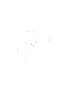 CC(C)(C)OC(=O)NC(COS(C)(=O)=O)Cc1ccc(Cl)cc1Cl